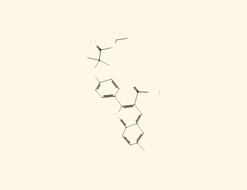 CCOC(=O)C(C)(C)Oc1ccc(-c2nc3ccc(C)cc3cc2C(=O)O)cc1